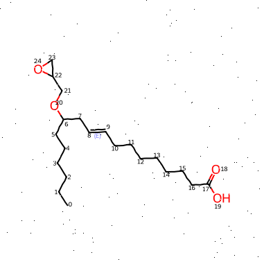 CCCCCCC(C/C=C/CCCCCCCC(=O)O)OCC1CO1